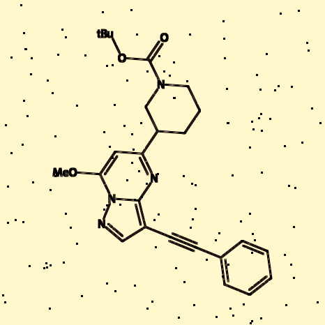 COc1cc(C2CCCN(C(=O)OC(C)(C)C)C2)nc2c(C#Cc3ccccc3)cnn12